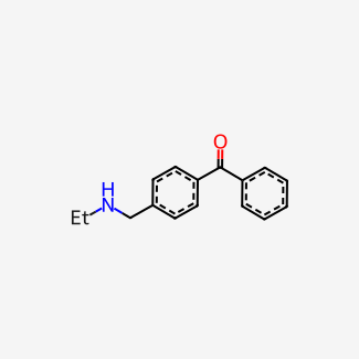 CCNCc1ccc(C(=O)c2ccccc2)cc1